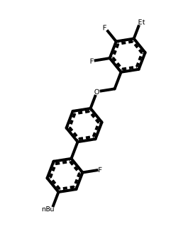 CCCCc1ccc(-c2ccc(OCc3ccc(CC)c(F)c3F)cc2)c(F)c1